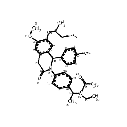 CCC(C)Oc1cc2c(cc1OC)CC(=O)N(c1ccc([C@H](C)N(CC)C(C)=O)cc1)[C@@H]2c1ccc(Cl)cc1